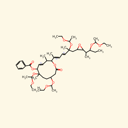 CCOC(C)OC1CCC(C)(OC(C)OCC)C(OC(=O)c2ccccc2)/C=C/C(C)C(/C(C)=C/C=C/C(C)(CC2OC2C(C)C(CC)OC(C)OCC)OC(C)OCC)OC(=O)C1